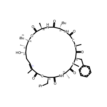 CCC(C)[C@@H]1NC(=O)CN(C)C(=O)[C@@H](Cc2ccccc2)N(C)C(=O)[C@H](C)NC(=O)[C@@H](CC(C)C)OC(=O)/C(C)=C/C[C@H](O)[C@H](C)[C@@H]([C@@H](C)CC)OC(=O)[C@@H](C)NC1=O